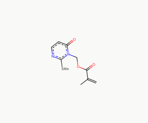 C=C(C)C(=O)OCn1c(SC)nccc1=O